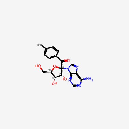 CC(C)(C)c1ccc(C(=O)[C@@]2(n3cnc4c(N)ncnc43)O[C@H](CO)[C@@H](O)[C@H]2O)cc1